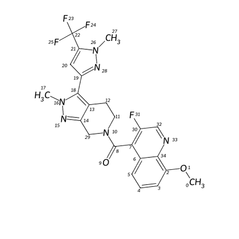 COc1cccc2c(C(=O)N3CCc4c(nn(C)c4-c4cc(C(F)(F)F)n(C)n4)C3)c(F)cnc12